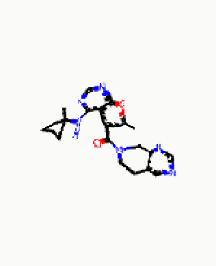 Cc1oc2ncnc(NC3(C)CC3)c2c1C(=O)N1CCc2cncnc2C1